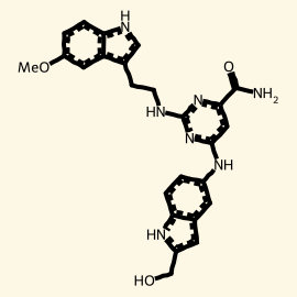 COc1ccc2[nH]cc(CCNc3nc(Nc4ccc5[nH]c(CO)cc5c4)cc(C(N)=O)n3)c2c1